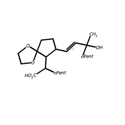 CCCCCC(C(=O)O)C1C(/C=C/C(C)(O)CCCCC)CCC12OCCO2